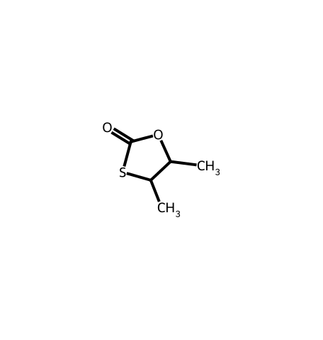 CC1OC(=O)SC1C